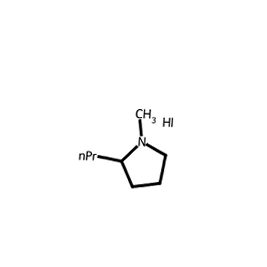 CCCC1CCCN1C.I